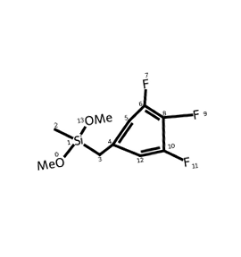 CO[Si](C)(Cc1cc(F)c(F)c(F)c1)OC